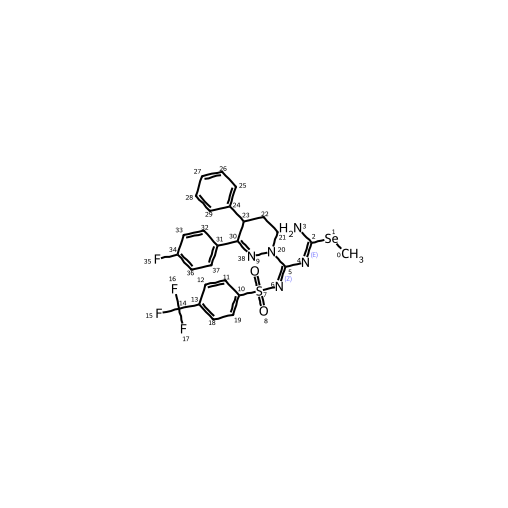 C[Se]/C(N)=N/C(=N/S(=O)(=O)c1ccc(C(F)(F)F)cc1)N1CCC(c2ccccc2)C(c2ccc(F)cc2)=N1